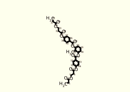 C=CC(=O)OCCC(=O)Oc1ccc(C(=O)Oc2cccc(OC(=O)c3ccc(OC(=O)CCOC(=O)C=C)cc3)c2C)cc1